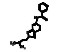 CN(C)CCn1cc2ccc(NC(=O)c3ccccc3)cc2n1